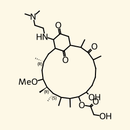 COC1C[C@H](C)CC2C(=O)C(CC(=O)C2NCCN(C)C)C(C)C(=O)C(C)CCCC(O)C(OC(=O)CO)C(C)C(C)[C@H](C)[C@H]1C